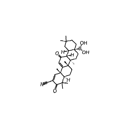 CC1(C)CC[C@]2(B(O)O)CC[C@]3(C)[C@H](C(=O)C=C4[C@@]5(C)C=C(C#N)C(=O)C(C)(C)[C@@H]5CC[C@]43C)[C@@H]2C1